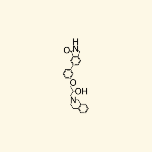 O=C1NCc2ccc(-c3cccc(OCC(O)CN4CCc5ccccc5C4)c3)cc21